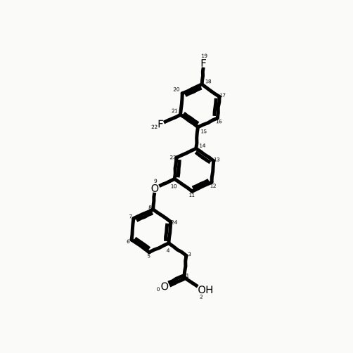 O=C(O)Cc1cccc(Oc2cccc(-c3ccc(F)cc3F)c2)c1